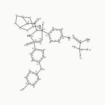 NC1CC2CCC(C1)N2C(=O)C(NS(=O)(=O)c1ccc(Oc2ccc(F)cc2)cc1)C(F)(F)c1ccc(Br)cc1.O=C(O)C(F)(F)F